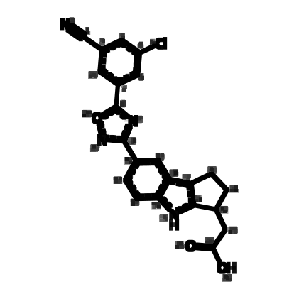 N#Cc1cc(Cl)cc(-c2nc(-c3ccc4[nH]c5c(c4c3)CCC5CC(=O)O)no2)c1